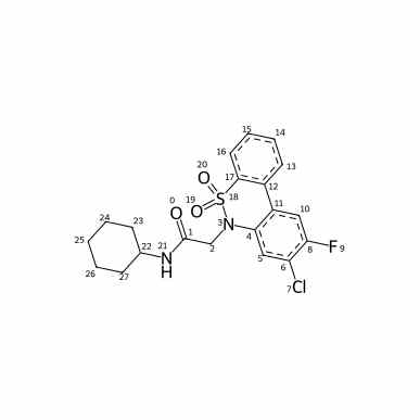 O=C(CN1c2cc(Cl)c(F)cc2-c2ccccc2S1(=O)=O)NC1CCCCC1